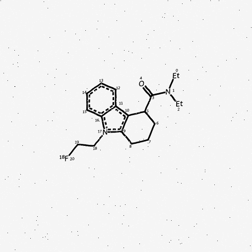 CCN(CC)C(=O)C1CCCc2c1c1ccccc1n2CC[18F]